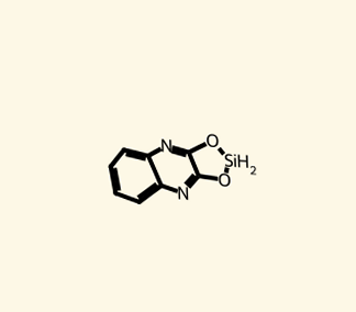 c1ccc2nc3c(nc2c1)O[SiH2]O3